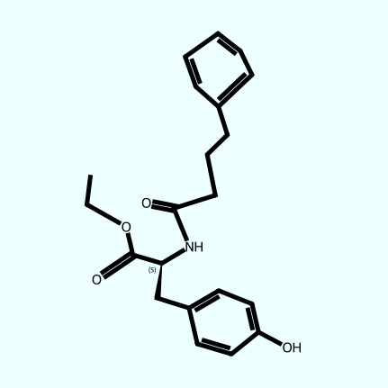 CCOC(=O)[C@H](Cc1ccc(O)cc1)NC(=O)CCCc1ccccc1